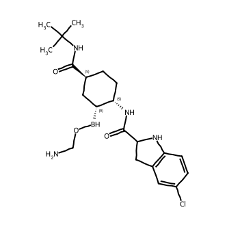 CC(C)(C)NC(=O)[C@H]1CC[C@H](NC(=O)C2Cc3cc(Cl)ccc3N2)[C@H](BOCN)C1